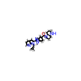 Cn1c(-c2cc3cccnc3n2CC2CC2)nc2cc(C(=O)N3CCCC4NCCCC43)ccc21